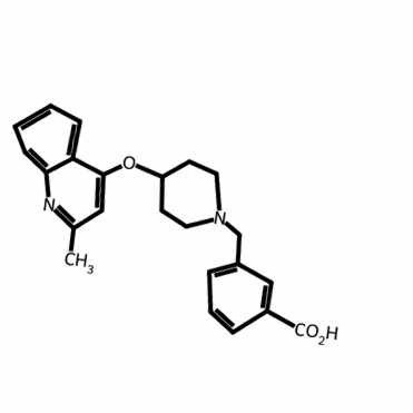 Cc1cc(OC2CCN(Cc3cccc(C(=O)O)c3)CC2)c2ccccc2n1